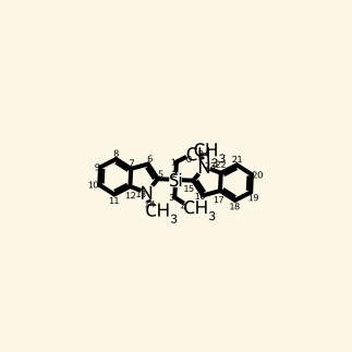 CC[Si](CC)(c1cc2ccccc2n1C)c1cc2ccccc2n1C